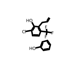 C=CCc1c(C(F)(F)F)ccc(Cl)c1O.Oc1ccccc1